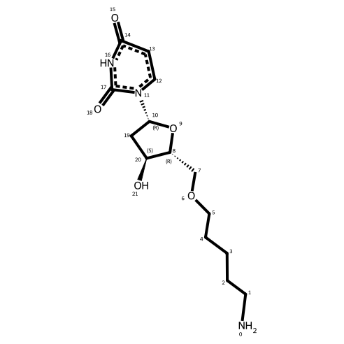 NCCCCCOC[C@H]1O[C@@H](n2ccc(=O)[nH]c2=O)C[C@@H]1O